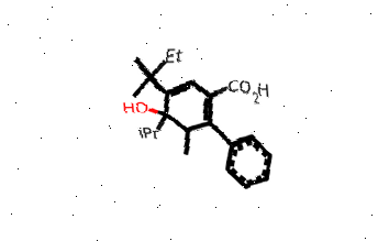 CCC(C)(C)C1=CC(C(=O)O)=C(c2ccccc2)C(C)C1(O)C(C)C